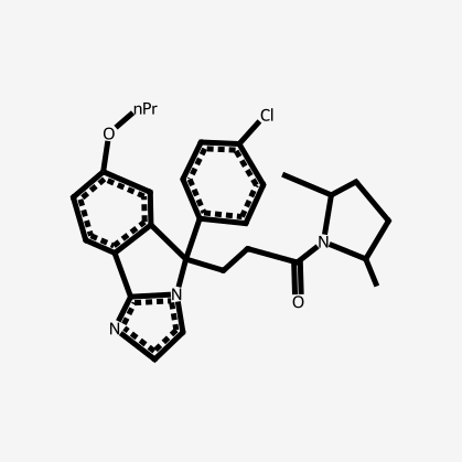 CCCOc1ccc2c(c1)C(CCC(=O)N1C(C)CCC1C)(c1ccc(Cl)cc1)n1ccnc1-2